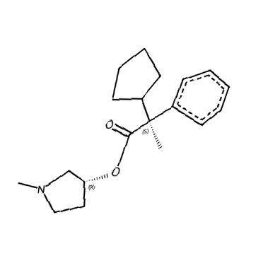 CN1CC[C@@H](OC(=O)[C@](C)(c2ccccc2)C2CCCC2)C1